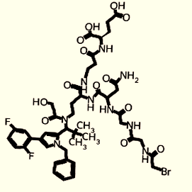 CC(C)(C)C(c1cc(-c2cc(F)ccc2F)cn1Cc1ccccc1)N(CCC(NC(=O)C(CC(N)=O)NC(=O)CNC(=O)CNC(=O)CBr)C(=O)NCCC(=O)N[C@H](CCC(=O)O)C(=O)O)C(=O)CO